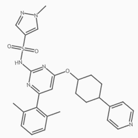 Cc1cccc(C)c1-c1cc(OC2CCC(c3ccncc3)CC2)nc(NS(=O)(=O)c2cnn(C)c2)n1